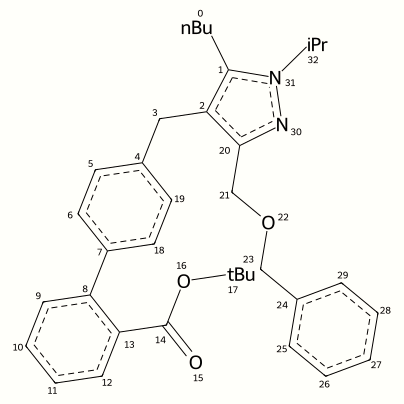 CCCCc1c(Cc2ccc(-c3ccccc3C(=O)OC(C)(C)C)cc2)c(COCc2ccccc2)nn1C(C)C